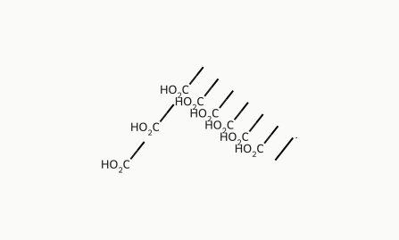 CC(=O)O.CC(=O)O.CC(=O)O.CC(=O)O.CC(=O)O.CC(=O)O.CC(=O)O.CC(=O)O.[CH2]C